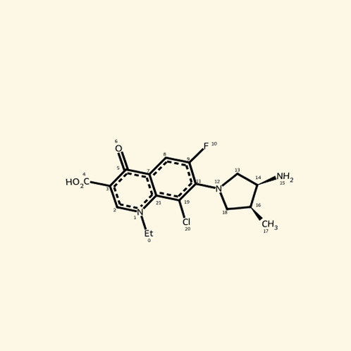 CCn1cc(C(=O)O)c(=O)c2cc(F)c(N3C[C@@H](N)[C@@H](C)C3)c(Cl)c21